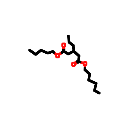 CCCCCCOC(=O)CC(CCC)CC(=O)OCCCCC